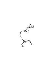 C=CN(C=C)/C=C\NCCCC